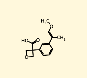 COC=C(C)c1cccc(C2(C(=O)O)COC2)c1